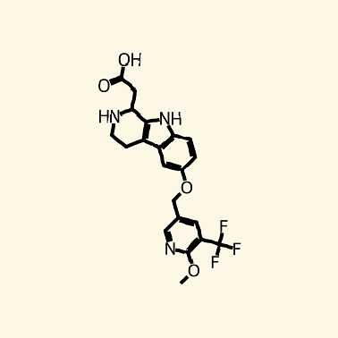 COc1ncc(COc2ccc3[nH]c4c(c3c2)CCNC4CC(=O)O)cc1C(F)(F)F